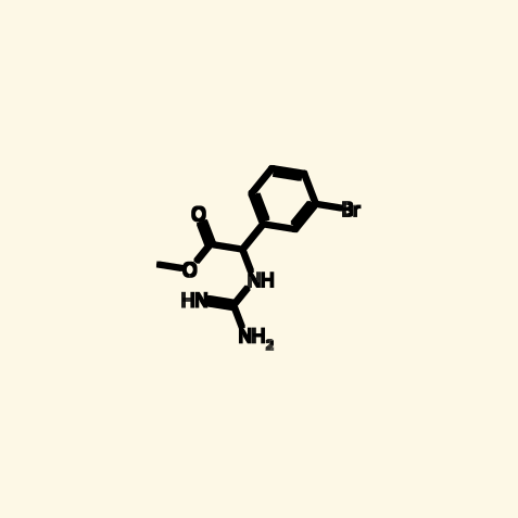 COC(=O)C(NC(=N)N)c1cccc(Br)c1